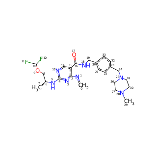 C=Nc1nc(N[C@@H](C)COC(F)F)ncc1C(=O)NCc1ccc(CN2CCN(C)CC2)cc1